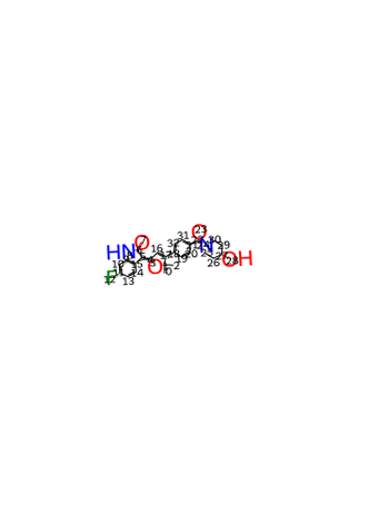 CC1(C)O/C(=C2/C(=O)Nc3cc(F)ccc32)C=C1c1ccc(C(=O)N2CCC(O)CC2)cc1